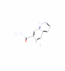 Cc1cc2cccnc2cc1C(N)=O